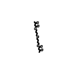 CC(=O)CC(=O)OCCCCOCCCCOC(=O)CC(C)=O